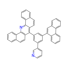 c1cncc(-c2cc(-c3cc4ccccc4c4ccccc34)cc(-c3c4ccc5ccccc5c4nc4c3ccc3ccccc34)c2)c1